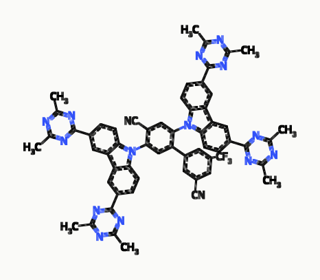 Cc1nc(C)nc(-c2ccc3c(c2)c2cc(-c4nc(C)nc(C)n4)ccc2n3-c2cc(-c3cc(C#N)cc(C(F)(F)F)c3)c(-n3c4ccc(-c5nc(C)nc(C)n5)cc4c4cc(-c5nc(C)nc(C)n5)ccc43)cc2C#N)n1